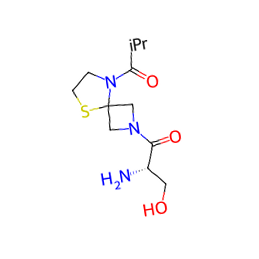 CC(C)C(=O)N1CCSC12CN(C(=O)[C@@H](N)CO)C2